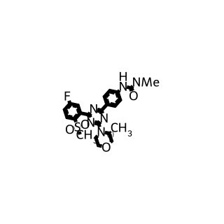 CNC(=O)Nc1ccc(-c2nc(-c3cc(F)ccc3S(C)(=O)=O)nc(N3CCOC[C@@H]3C)n2)cc1